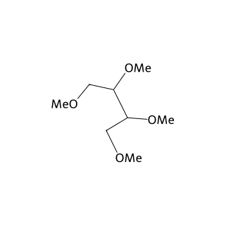 COCC(OC)C(COC)OC